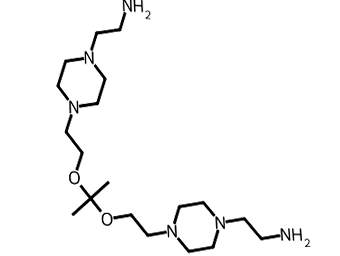 CC(C)(OCCN1CCN(CCN)CC1)OCCN1CCN(CCN)CC1